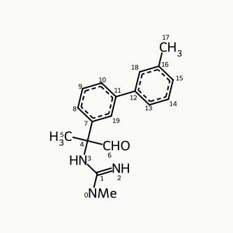 CNC(=N)NC(C)(C=O)c1cccc(-c2cccc(C)c2)c1